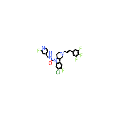 O=C(NCc1ccnc(F)c1)n1c2c(c3cc(F)c(Cl)cc31)CN(C/C=C/c1cc(F)c(F)c(F)c1)CC2